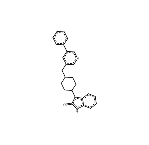 O=c1[nH]c2ccccc2n1C1CCN(Cc2cncc(-c3ccccc3)c2)CC1